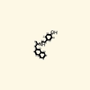 CC(Cc1ccc2ccccc2c1)NCCc1ccc(O)cc1